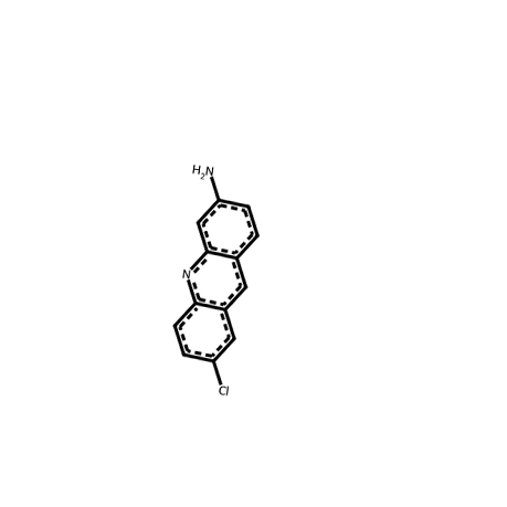 Nc1ccc2cc3cc(Cl)ccc3nc2c1